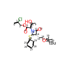 C=C(Cl)COC(=O)/C(=C(/C)O)N1C(=O)[C@H](CCO[Si](C)(C)C(C)(C)C)[C@H]1Sc1ccccc1